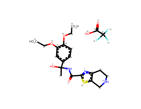 CC(O)(NC(=O)c1nc2c(s1)CNCC2)c1ccc(OCC(=O)O)c(OCC(=O)O)c1.O=C(O)C(F)(F)F